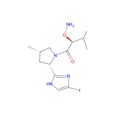 CC(C)[C@H](ON)C(=O)N1C[C@@H](C)C[C@H]1c1nc(I)c[nH]1